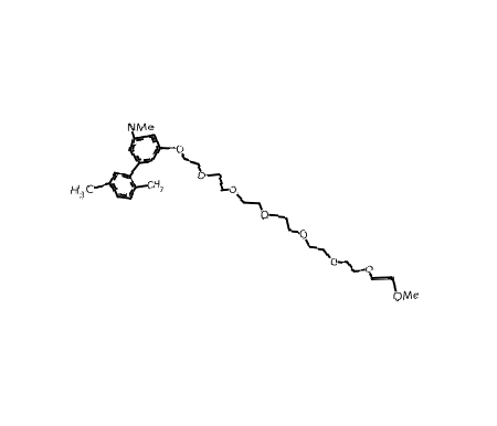 CNc1cc(OCCOCCOCCOCCOCCOCCOCCOC)cc(-c2cc(C)ccc2C)c1